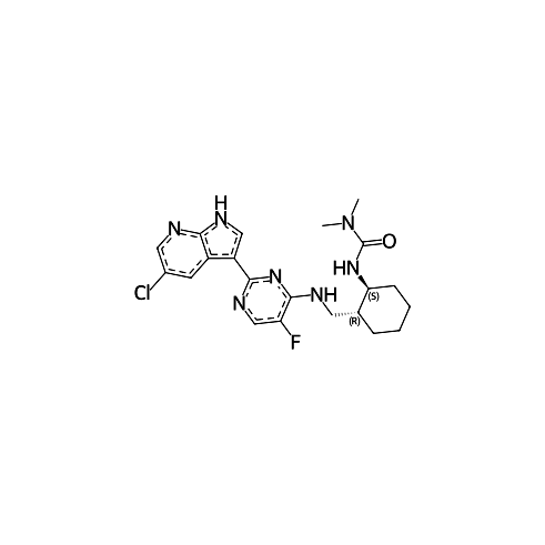 CN(C)C(=O)N[C@H]1CCCC[C@@H]1CNc1nc(-c2c[nH]c3ncc(Cl)cc23)ncc1F